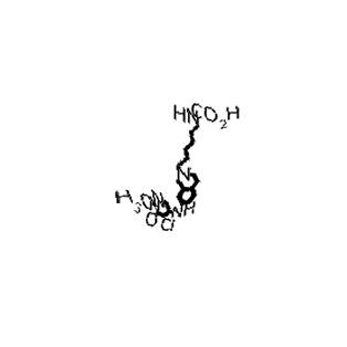 Cn1ncc(Nc2ccc3c(c2)CN(CCCCCCNC(=O)O)CC3)c(Cl)c1=O